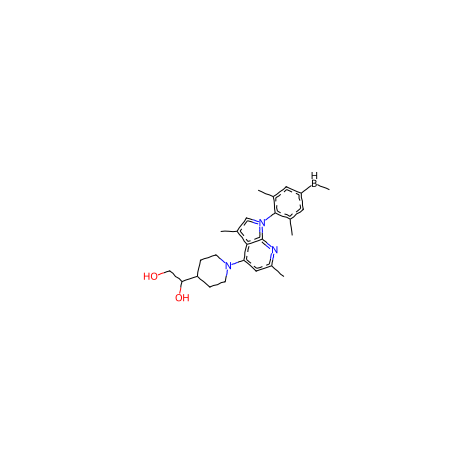 CBc1cc(C)c(-n2cc(C)c3c(N4CCC(C(O)CO)CC4)cc(C)nc32)c(C)c1